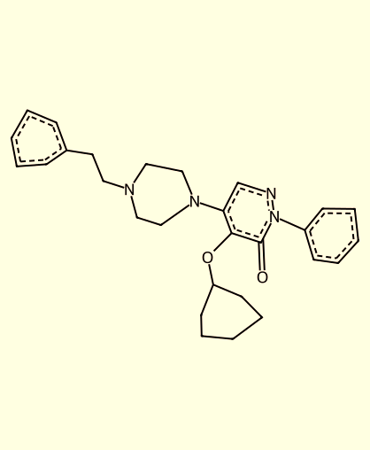 O=c1c(OC2CCCCC2)c(N2CCN(CCc3ccccc3)CC2)cnn1-c1ccccc1